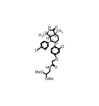 COC(CNC(=O)COc1ccc([C@@H]2CC[C@@]3(C)C(=O)N[C@H](C)[C@H]3[C@H]2c2ccc(Cl)cc2)c(Cl)c1)OC